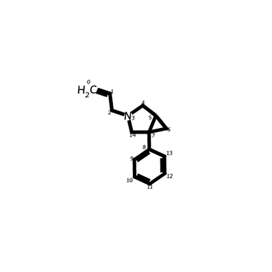 C=CCN1CC2CC2(c2ccccc2)C1